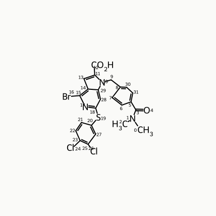 CN(C)C(=O)c1ccc(Cn2c(C(=O)O)cc3c(Br)nc(Sc4ccc(Cl)c(Cl)c4)cc32)cc1